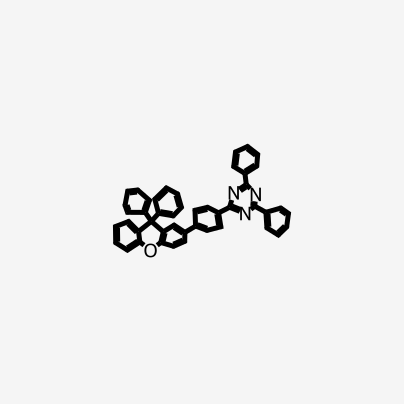 c1ccc(-c2nc(-c3ccccc3)nc(-c3ccc(-c4ccc5c(c4)C(c4ccccc4)(c4ccccc4)c4ccccc4O5)cc3)n2)cc1